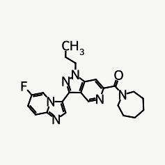 CCCn1nc(-c2cnc3ccc(F)cn23)c2cnc(C(=O)N3CCCCCC3)cc21